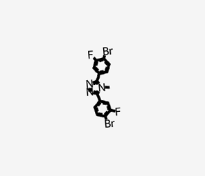 Cn1c(-c2ccc(Br)c(F)c2)nnc1-c1ccc(Br)c(F)c1